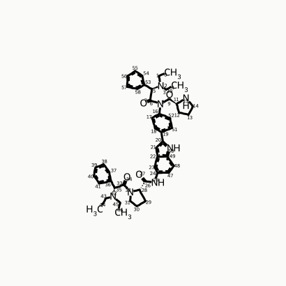 CCN(CC)[C@@H](C(=O)N(C(=O)[C@@H]1CCCN1)c1ccc(-c2cc3cc(NC(=O)[C@@H]4CCCN4C(=O)[C@@H](c4ccccc4)N(CC)CC)ccc3[nH]2)cc1)c1ccccc1